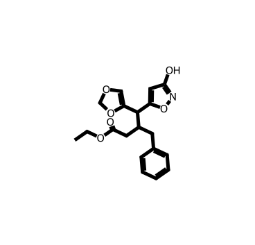 CCOC(=O)CC(Cc1ccccc1)C(C1=COCO1)c1cc(O)no1